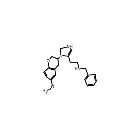 COc1ccc2c(c1)CC(N1CNC=C1CCNCc1ccccc1)CO2